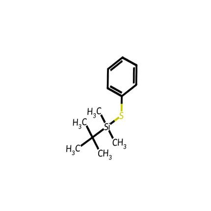 CC(C)(C)[Si](C)(C)Sc1ccccc1